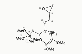 COC(OC)=C(OC)[SiH2]C(CC[Si](OC)(OC)OC)OCC1CO1